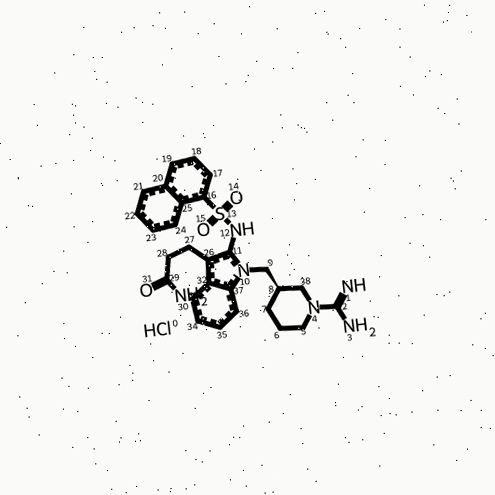 Cl.N=C(N)N1CCC[C@@H](Cn2c(NS(=O)(=O)c3cccc4ccccc34)c(CCC(N)=O)c3ccccc32)C1